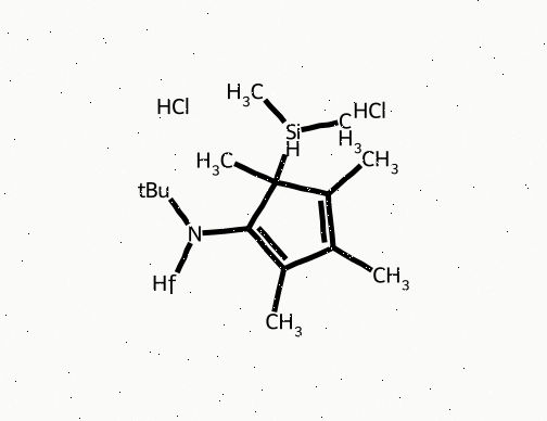 CC1=C(C)C(C)([SiH](C)C)C([N]([Hf])C(C)(C)C)=C1C.Cl.Cl